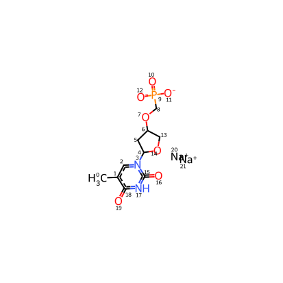 Cc1cn(C2CC(OCP(=O)([O-])[O-])CO2)c(=O)[nH]c1=O.[Na+].[Na+]